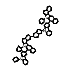 c1ccc(-n2c3ccccc3c3cc(-c4c5ccccc5cc5c6c7cc(-c8ccc9cc(-n%10c%11ccccc%11c%11cc(-c%12c%13ccccc%13cc%13c%14c%15ccccc%15ccc%14n(-c%14ccccc%14)c%12%13)ccc%11%10)ccc9c8)ccc7ccc6n(-c6ccccc6)c45)ccc32)cc1